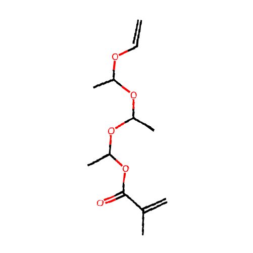 C=COC(C)OC(C)OC(C)OC(=O)C(=C)C